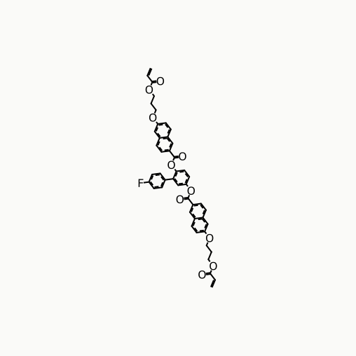 C=CC(=O)OCCCOc1ccc2cc(C(=O)Oc3ccc(OC(=O)c4ccc5cc(OCCCOC(=O)C=C)ccc5c4)c(-c4ccc(F)cc4)c3)ccc2c1